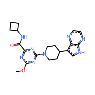 COc1nc(C(=O)NC2CCC2)nc(N2CCC(c3c[nH]c4nccnc34)CC2)n1